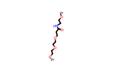 CC(C)OCCNC(=O)CCOCCOCCOC(C)C